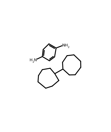 C1CCCC(C2CCCCCCC2)CCC1.Nc1ccc(N)cc1